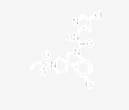 CCS(=O)(=O)N1CCC2(CN(C(=O)Nc3ncc(Cl)s3)c3ccc(Br)cc32)C1